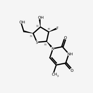 Cc1cn([C@H]2S[C@@H](CO)[C@@H](O)[C@H]2F)c(=O)[nH]c1=O